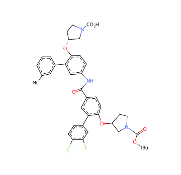 CC(C)(C)OC(=O)N1CC[C@H](Oc2ccc(C(=O)Nc3ccc(O[C@@H]4CCN(C(=O)O)C4)c(-c4cccc(C#N)c4)c3)cc2-c2ccc(F)c(F)c2)C1